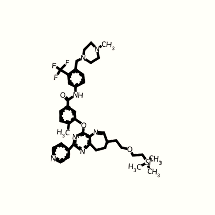 Cc1ccc(C(=O)Nc2ccc(CN3CCN(C)CC3)c(C(F)(F)F)c2)cc1Oc1nc(-c2ccncc2)nc2c1N=CC(CCOCC[Si](C)(C)C)CC2